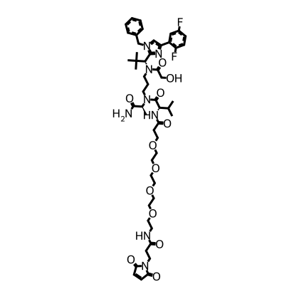 CC(C)[C@H](NC(=O)CCOCCOCCOCCOCCNC(=O)CCN1C(=O)C=CC1=O)C(=O)N(CCCN(C(=O)CO)[C@@H](c1nc(-c2cc(F)ccc2F)cn1Cc1ccccc1)C(C)(C)C)[C@@H](C)C(N)=O